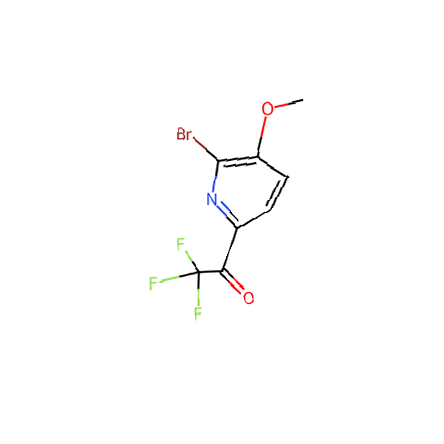 COc1ccc(C(=O)C(F)(F)F)nc1Br